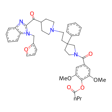 CCCC(=O)Oc1c(OC)cc(C(=O)N2CCC(CCN3CCC(C(=O)c4nc5ccccc5n4Cc4ccco4)CC3)(c3ccccc3)C2)cc1OC